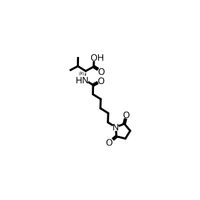 CC(C)[C@@H](NC(=O)CCCCCN1C(=O)CCC1=O)C(=O)O